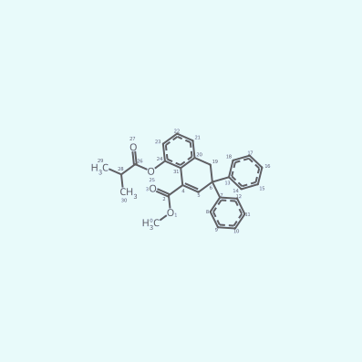 COC(=O)C1=CC(c2ccccc2)(c2ccccc2)Cc2cccc(OC(=O)C(C)C)c21